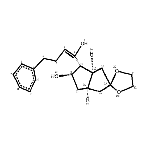 O/C(=C/CCc1ccccc1)[C@@H]1[C@H]2CC3(C[C@H]2C[C@H]1O)OCCO3